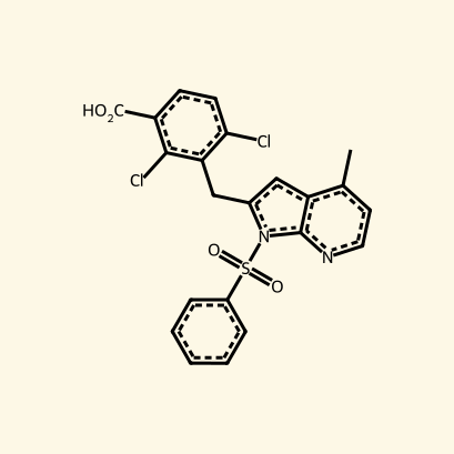 Cc1ccnc2c1cc(Cc1c(Cl)ccc(C(=O)O)c1Cl)n2S(=O)(=O)c1ccccc1